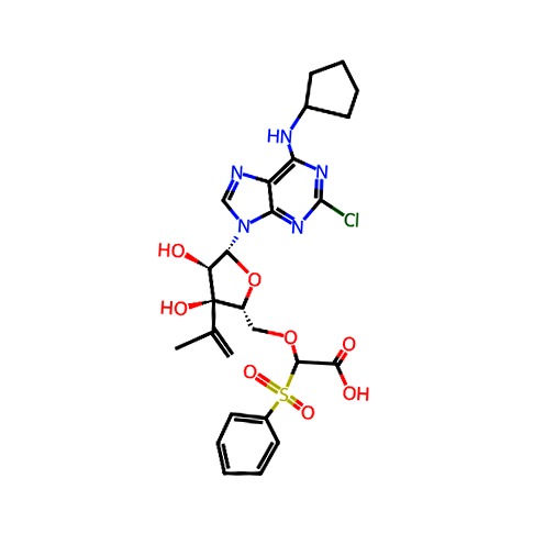 C=C(C)[C@@]1(O)[C@@H](COC(C(=O)O)S(=O)(=O)c2ccccc2)O[C@@H](n2cnc3c(NC4CCCC4)nc(Cl)nc32)[C@@H]1O